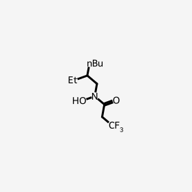 CCCCC(CC)CN(O)C(=O)CC(F)(F)F